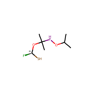 CC(C)OPC(C)(C)O[C@H](F)S